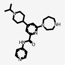 CC(C)N1CCC(c2cc(C(=O)Nc3ccncc3)nc(N3CCCNCC3)c2)CC1